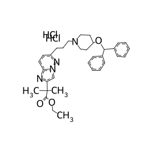 CCOC(=O)C(C)(C)c1cn2nc(CCCN3CCC(OC(c4ccccc4)c4ccccc4)CC3)ccc2n1.Cl.Cl